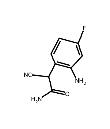 N#CC(C(N)=O)c1ccc(F)cc1N